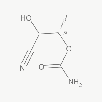 C[C@H](OC(N)=O)C(O)C#N